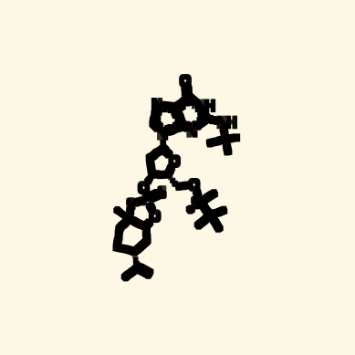 C=C(C)[C@@H]1CC[C@]2(C)SP(=S)(O[C@H]3C[C@H](n4cnc5c(=O)[nH]c(NC(C)(C)C)nc54)O[C@@H]3CO[Si](C)(C)C(C)(C)C)OC2C1